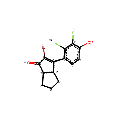 O=C1C(Br)=C(c2ccc(O)c(F)c2F)C2CCCC12